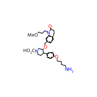 COCCCN1C(=O)CCc2ccc(COC3CN(C(=O)O)CCC3c3ccc(OCCCCN)cc3)cc21